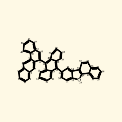 c1ccc2cc3c(cc2c1)c(-c1c2ccccc2c(-c2ccc4oc5c6ccccc6ccc5c4c2)c2ccccc12)cc1ccccc13